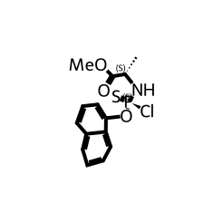 COC(=O)[C@H](C)N[P@](=S)(Cl)Oc1cccc2ccccc12